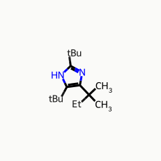 CCC(C)(C)c1nc(C(C)(C)C)[nH]c1C(C)(C)C